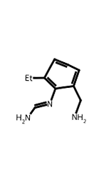 CCc1cccc(CN)c1N=CN